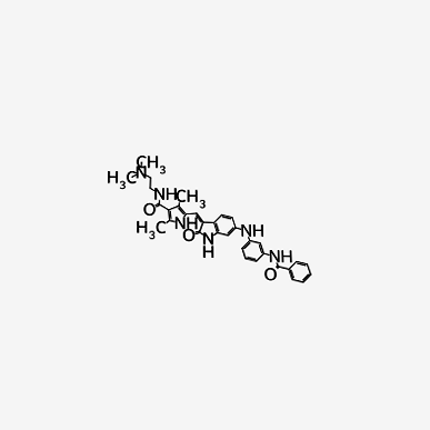 Cc1[nH]c(/C=C2\C(=O)Nc3cc(Nc4cccc(NC(=O)c5ccccc5)c4)ccc32)c(C)c1C(=O)NCCN(C)C